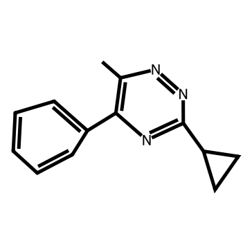 Cc1nnc(C2CC2)nc1-c1ccccc1